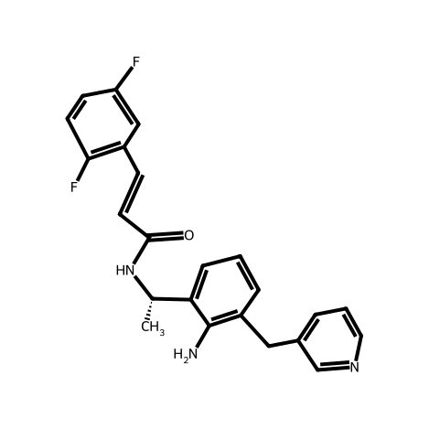 C[C@H](NC(=O)C=Cc1cc(F)ccc1F)c1cccc(Cc2cccnc2)c1N